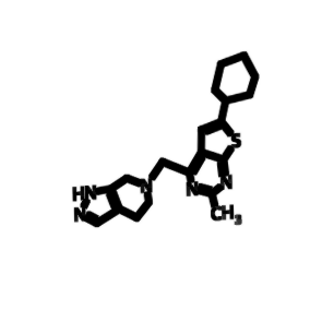 Cc1nc(CN2CCc3cn[nH]c3C2)c2cc(C3CCCCC3)sc2n1